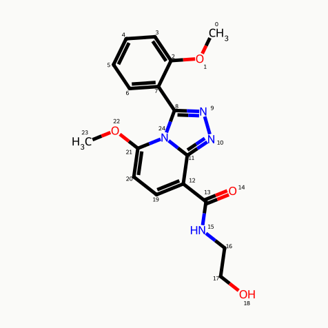 COc1ccccc1-c1nnc2c(C(=O)NCCO)ccc(OC)n12